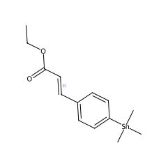 CCOC(=O)/C=C/c1cc[c]([Sn]([CH3])([CH3])[CH3])cc1